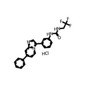 Cl.O=C(NCC(F)(F)F)Nc1cccc(-c2cnc3cc(-c4ccccc4)ccn23)c1